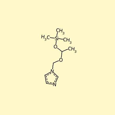 CC(OCn1ccnc1)O[Si](C)(C)C